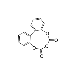 O=c1oc(=O)oc2ccccc2c2ccccc2o1